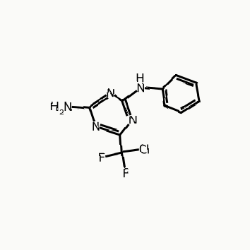 Nc1nc(Nc2ccccc2)nc(C(F)(F)Cl)n1